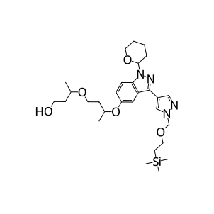 CC(CCO)OCCC(C)Oc1ccc2c(c1)c(-c1cnn(COCC[Si](C)(C)C)c1)nn2C1CCCCO1